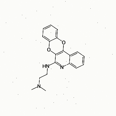 CN(C)CCNc1nc2ccccc2c2c1Oc1ccccc1O2